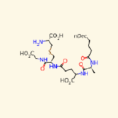 CCCCCCCCCCCCCC(=O)N[C@@H](C)C(=O)N[C@H](CCC(=O)N[C@H](CSC[C@H](N)C(=O)O)C(=O)NCC(=O)O)C(=O)O